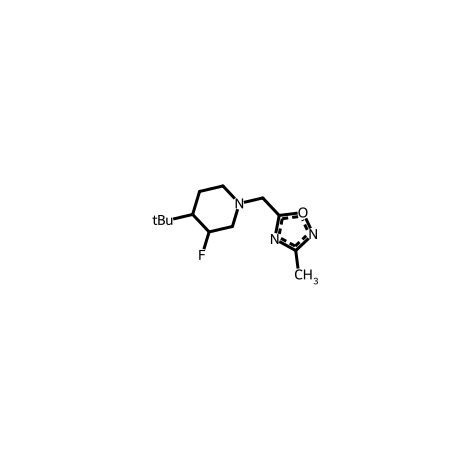 Cc1noc(CN2CCC(C(C)(C)C)C(F)C2)n1